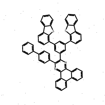 c1ccc(-c2ccc(-c3nc4c5ccccc5c5ccccc5c4nc3-c3cc(-c4cccc5c4sc4ccccc45)cc(-c4cccc5c4sc4ccccc45)c3)cc2)cc1